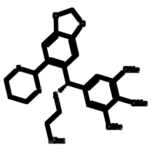 CCCCCCCCCCCCS[C@@H](c1cc(OC)c(OC)c(OC)c1)c1cc2c(cc1C1SCCCS1)OCO2